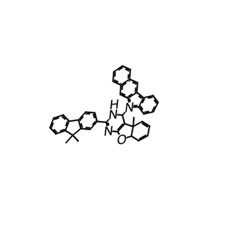 CC1(C)c2ccccc2-c2ccc(C3=NC4=C(C(n5c6ccccc6c6cc7ccccc7cc65)N3)C3(C)C=CC=CC3O4)cc21